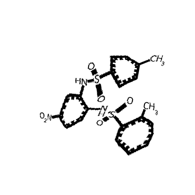 Cc1ccc(S(=O)(=O)Nc2cc([N+](=O)[O-])ccc2NS(=O)(=O)c2ccccc2C)cc1